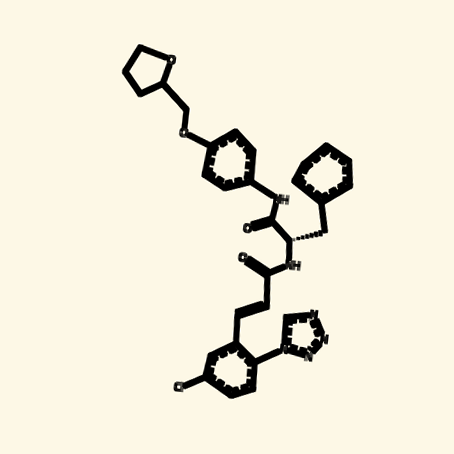 O=C(C=Cc1cc(Cl)ccc1-n1cnnn1)N[C@@H](Cc1ccccc1)C(=O)Nc1ccc(OCC2CCCO2)cc1